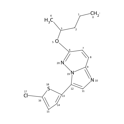 [CH2]CCC(C)Oc1ccc2ncc(-c3ccc(Cl)s3)n2n1